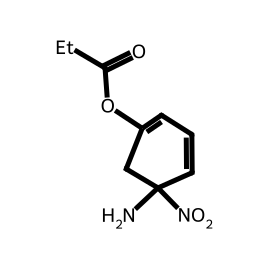 CCC(=O)OC1=CC=CC(N)([N+](=O)[O-])C1